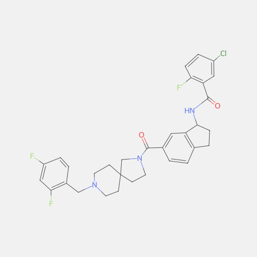 O=C(NC1CCc2ccc(C(=O)N3CCC4(CCN(Cc5ccc(F)cc5F)CC4)C3)cc21)c1cc(Cl)ccc1F